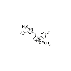 C[C@@H](O)c1cc(F)ccc1-n1nccc1Cc1cc(C2CCC2)n(C)n1